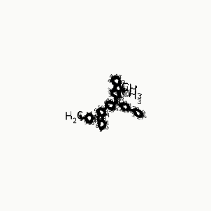 C=Cc1ccc(-n2c3ccccc3c3cc(-c4ccc(N(c5ccc(-c6ccccc6)cc5)c5ccc6c(c5)C(C)(C)c5ccccc5-6)cc4)ccc32)cc1